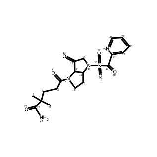 CC(C)(C[CH]C(=O)N1CCC2C1C(=O)CN2S(=O)(=O)C(=O)c1ccccn1)C(N)=O